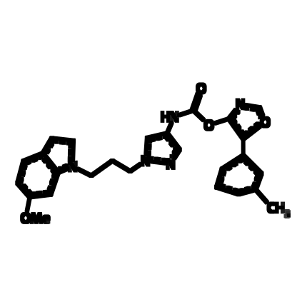 COc1ccc2ccn(CCCn3cc(NC(=O)Oc4ncoc4-c4cccc(C)c4)cn3)c2c1